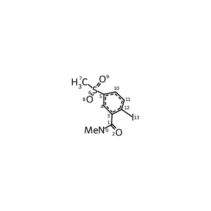 CNC(=O)c1cc(S(C)(=O)=O)ccc1I